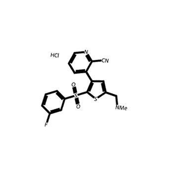 CNCc1cc(-c2cccnc2C#N)c(S(=O)(=O)c2cccc(F)c2)s1.Cl